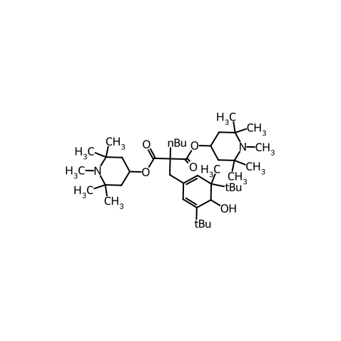 CCCCC(CC1=CC(C)(C(C)(C)C)C(O)C(C(C)(C)C)=C1)(C(=O)OC1CC(C)(C)N(C)C(C)(C)C1)C(=O)OC1CC(C)(C)N(C)C(C)(C)C1